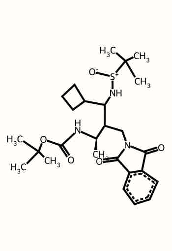 C[C@@H](NC(=O)OC(C)(C)C)C(CN1C(=O)c2ccccc2C1=O)C(N[S+]([O-])C(C)(C)C)C1CCC1